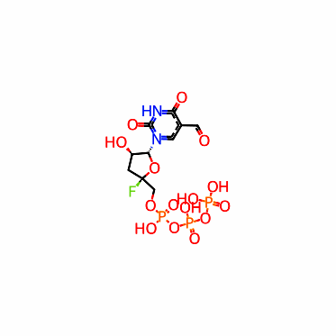 O=Cc1cn([C@@H]2O[C@](F)(COP(=O)(O)OP(=O)(O)OP(=O)(O)O)C[C@H]2O)c(=O)[nH]c1=O